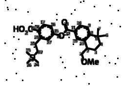 COCC1CCC(C)(C)c2ccc(C(=O)Oc3ccc(C(=O)O)c(CC[Si](C)(C)C)c3)cc21